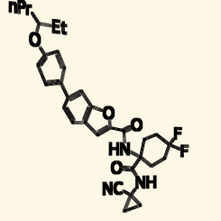 CCCC(CC)Oc1ccc(-c2ccc3cc(C(=O)NC4(C(=O)NC5(C#N)CC5)CCC(F)(F)CC4)oc3c2)cc1